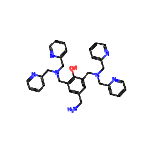 NCc1cc(CN(Cc2ccccn2)Cc2ccccn2)c(O)c(CN(Cc2ccccn2)Cc2ccccn2)c1